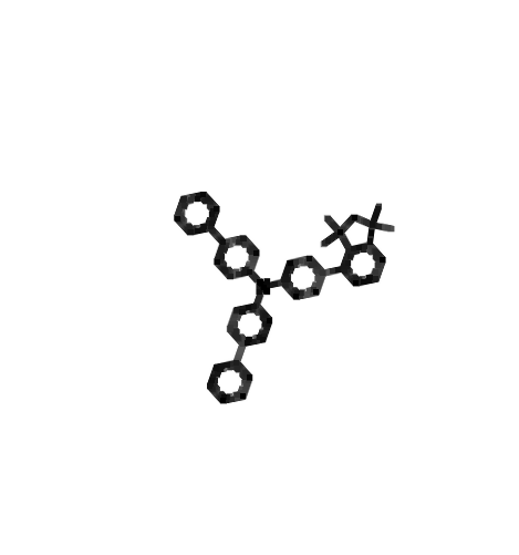 CC1(C)CC(C)(C)c2c(-c3ccc(N(c4ccc(-c5ccccc5)cc4)c4ccc(-c5ccccc5)cc4)cc3)cccc21